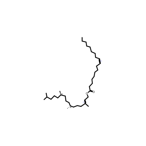 CCCCCCCC/C=C\CCCCCCCC(=O)OC/C=C(\C)CCC[C@H](C)CCC[C@H](C)CCCC(C)C